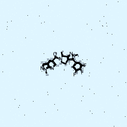 CC1c2nn(C)c(-c3cc(F)c(F)c(F)c3)c2CCN1C(=O)c1cnc2c(cnn2C)c1